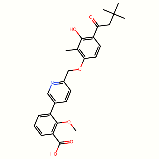 COc1c(C(=O)O)cccc1-c1ccc(COc2ccc(C(=O)CC(C)(C)C)c(O)c2C)nc1